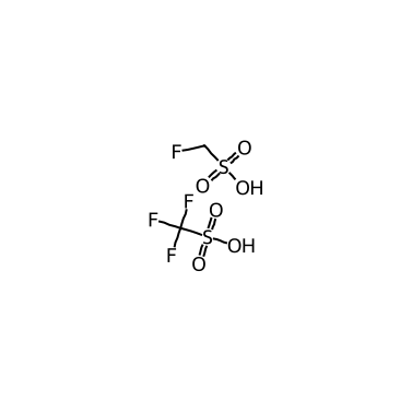 O=S(=O)(O)C(F)(F)F.O=S(=O)(O)CF